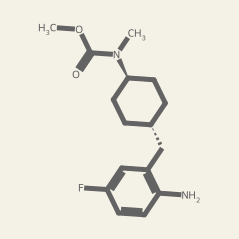 COC(=O)N(C)[C@H]1CC[C@H](Cc2cc(F)ccc2N)CC1